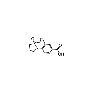 O=C(O)c1ccc(N2CCCS2(=O)=O)c(Cl)c1